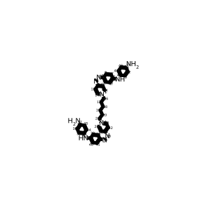 Nc1ccc(Nc2ccc(/N=N\c3cc[n+](CCCCCC[n+]4ccc(/N=N\c5ccc(Nc6ccc(N)cc6)cc5)cc4)cc3)cc2)cc1